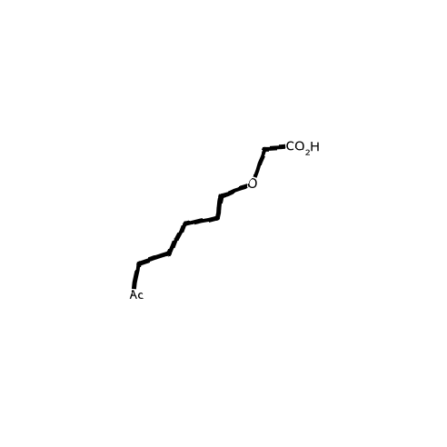 CC(=O)CCCCCOCC(=O)O